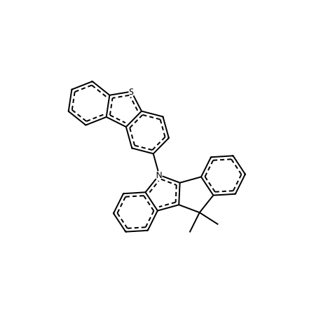 CC1(C)c2ccccc2-c2c1c1ccccc1n2-c1ccc2sc3ccccc3c2c1